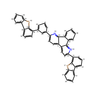 c1cc(-c2ccc3c4ccc(-c5cccc6c5sc5ccccc56)nc4c4ccccc4c3n2)cc(-c2cccc3c2sc2ccccc23)c1